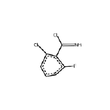 N=C(Cl)c1c(F)cccc1Cl